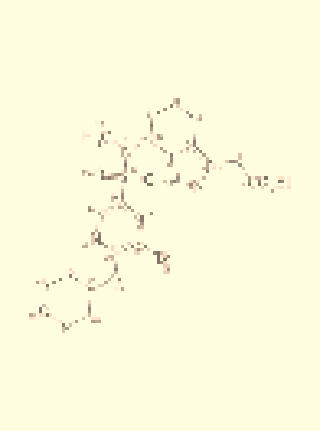 CCOC(=O)Cn1ncc2c1CCC[C@H]2N(C)S(=O)(=O)c1cnc(OC2CCOCC2)c(Br)c1